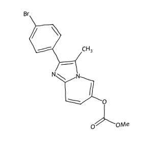 COC(=O)Oc1ccc2nc(-c3ccc(Br)cc3)c(C)n2c1